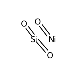 O=[Si]=O.[O]=[Ni]